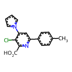 Cc1ccc(-c2cc(-n3cccc3)c(Cl)c(C(=O)O)n2)cc1